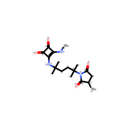 CC(C)(C)Nc1c(NC(C)(C)CCC(C)(C)N2C(=O)CC(C(C)(C)C)C2=O)c(=O)c1=O